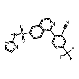 N#Cc1cc(C(F)(F)F)ccc1-c1nccc2cc(S(=O)(=O)Nc3nccs3)ccc12